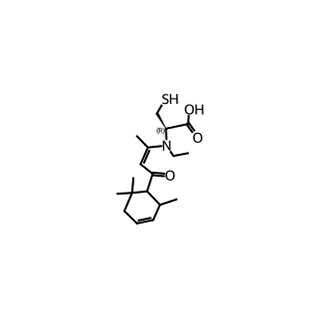 CCN(C(C)=CC(=O)C1C(C)C=CCC1(C)C)[C@@H](CS)C(=O)O